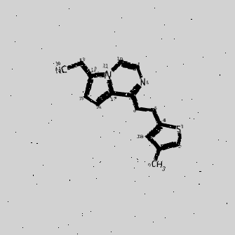 Cc1csc(CCc2nccn3c(CC#N)ccc23)c1